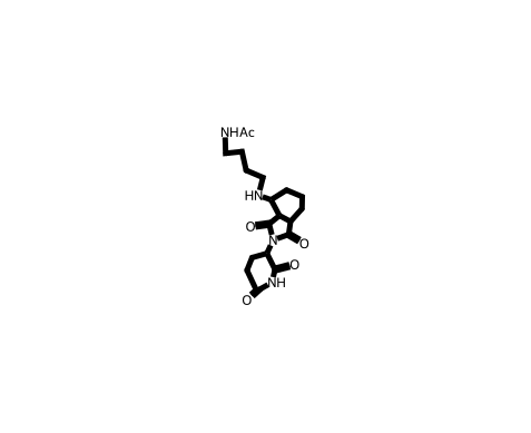 CC(=O)NCCCCNC1CCCC2C(=O)N(C3CCC(=O)NC3=O)C(=O)C12